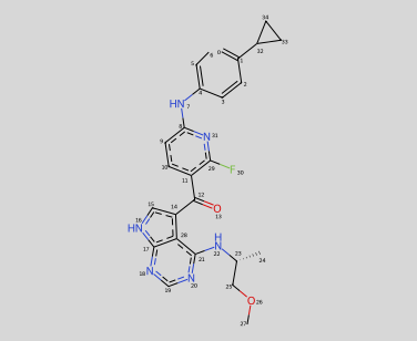 C=C(/C=C\C(=C/C)Nc1ccc(C(=O)c2c[nH]c3ncnc(N[C@H](C)COC)c23)c(F)n1)C1CC1